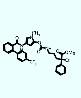 CCC(CCCNC(=O)Oc1cc(NC(=O)c2ccccc2-c2ccc(C(F)(F)F)cc2)cn1C)(C(=O)OC)c1ccccc1